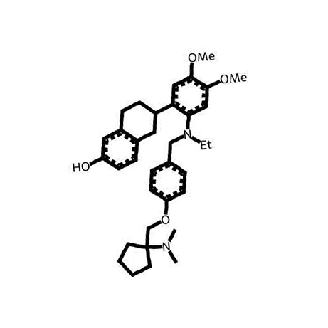 CCN(Cc1ccc(OCC2(N(C)C)CCCC2)cc1)c1cc(OC)c(OC)cc1C1CCc2cc(O)ccc2C1